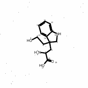 NC(CC1(CCO)CNc2ccccc21)C(=O)O